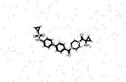 NC1(C(=O)N2CCN(C(=O)c3ccc(-c4ccc(NS(=O)(=O)C5CC5)cc4)cc3)CC2)CC1